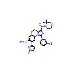 COc1cc2c(cc1-c1ccn(C)n1)-n1c(-c3cccc(Cl)c3)nc(C(=O)N3CCOCC3(C)C)c1CC2